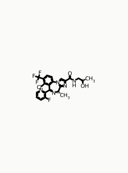 C[C@@H]1N=C(c2ncccc2F)c2c(ccc(C(F)(F)F)c2Cl)-n2cc(C(=O)NC[C@@H](C)O)nc21